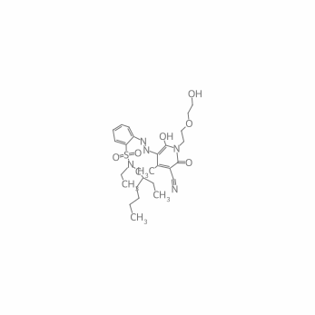 CCCCC(CC)CN(CC)S(=O)(=O)c1ccccc1/N=N/c1c(C)c(C#N)c(=O)n(CCOCCO)c1O